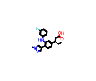 CC[C@H](CC(=O)O)c1ccc(-c2cnn(C)c2)c(Nc2cccc(F)c2)c1